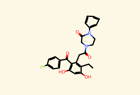 CCc1c(O)cc(O)c(C(=O)c2ccc(F)cc2)c1CC(=O)N1CCN(c2ccccc2)C(=O)C1